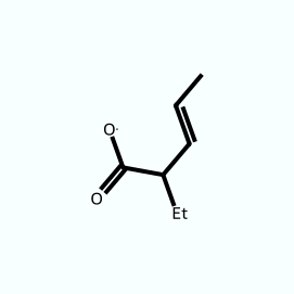 CC=CC(CC)C([O])=O